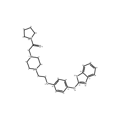 O=C(CN1CCN(CCOc2ccc(Oc3nc4ccccc4s3)cc2)CC1)N1CCCC1